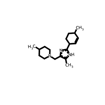 Cc1[nH]c(C2C=CC(C)CC2)nc1CN1CCC(C)CC1